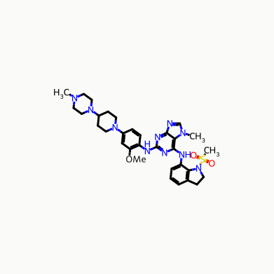 COc1cc(N2CCC(N3CCN(C)CC3)CC2)ccc1Nc1nc(Nc2cccc3c2N(S(C)(=O)=O)CC3)c2c(ncn2C)n1